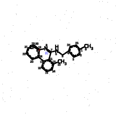 Cc1ccc(CN/C(=N/CCl)c2c(C)cccc2-c2ccccc2)cc1